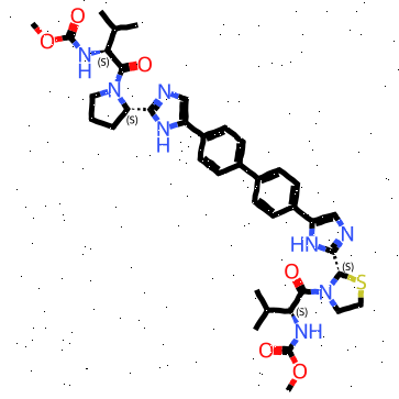 COC(=O)N[C@H](C(=O)N1CCC[C@H]1c1ncc(-c2ccc(-c3ccc(-c4cnc([C@@H]5SCCN5C(=O)[C@@H](NC(=O)OC)C(C)C)[nH]4)cc3)cc2)[nH]1)C(C)C